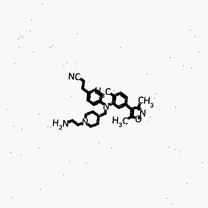 Cc1ccc(-c2c(C)noc2C)cc1N(CC1CCN(CCN)CC1)c1ccc(CCC#N)cc1